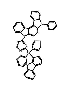 c1ccc(-n2c3ccccc3c3c4c5ccccc5n(-c5ncnc([Si](c6ccccc6)(c6ccccc6)c6cccc7c6sc6ccccc67)n5)c4ccc32)cc1